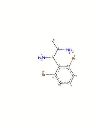 CC(N)C(N)c1c(Br)cccc1Br